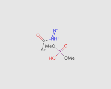 CC(=O)C(=O)[NH+]=[N-].COP(=O)(O)OC